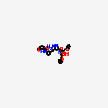 COc1cccc(C(=O)Nc2cccc(C#Cc3cc(C(=O)N=[SH](O)(CCCO[Si](C)(C)C(C)(C)C)CCCO[Si](C)(C)C(C)(C)C)cnc3N)c2)c1